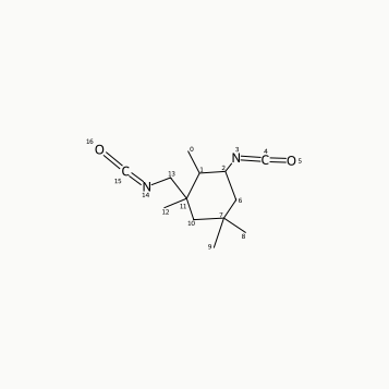 CC1C(N=C=O)CC(C)(C)CC1(C)CN=C=O